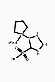 CCCCC[N+]1(N2NNNC2S(=O)(=O)C#N)CCCC1